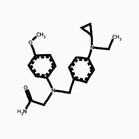 CCN(c1ccc(CN(CC(N)=O)c2ccc(OC)cc2)cc1)C1CC1